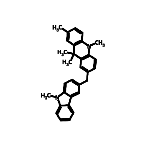 Cc1ccc2c(c1)C(C)(C)c1cc(Cc3ccc4c(c3)c3ccccc3n4C)ccc1N2C